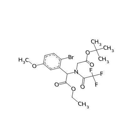 CCOC(=O)C(c1cc(OC)ccc1Br)N(CC(=O)OC(C)(C)C)C(=O)C(F)(F)F